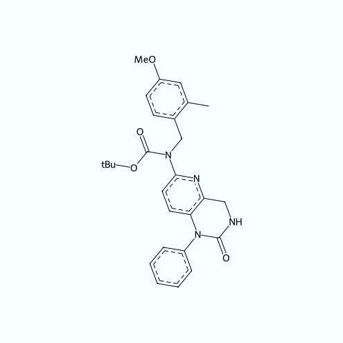 COc1ccc(CN(C(=O)OC(C)(C)C)c2ccc3c(n2)CNC(=O)N3c2ccccc2)c(C)c1